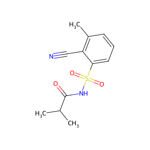 Cc1cccc(S(=O)(=O)NC(=O)C(C)C)c1C#N